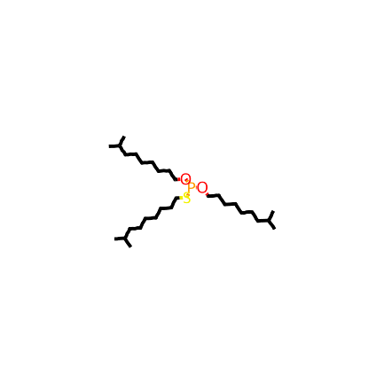 CC(C)CCCCCCCOP(OCCCCCCCC(C)C)SCCCCCCCC(C)C